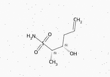 C=CC[C@H](O)[C@H](C)S(N)(=O)=O